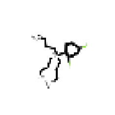 CCC[CH2][Sn]([CH2]CCC)([CH2]CCC)[c]1ccc(F)cc1F